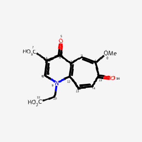 COc1cc2c(=O)c(C(=O)O)cn(CC(=O)O)c2ccc1=O